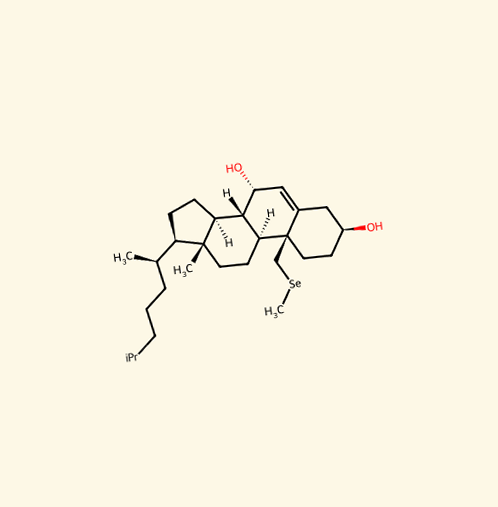 C[Se]C[C@]12CC[C@H](O)CC1=C[C@@H](O)[C@@H]1[C@@H]2CC[C@]2(C)[C@@H]([C@H](C)CCCC(C)C)CC[C@@H]12